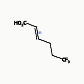 O=C(O)/C=C/CCC(F)(F)F